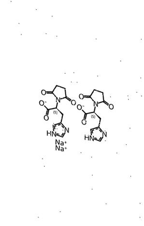 O=C([O-])[C@H](Cc1c[nH]cn1)N1C(=O)CCC1=O.O=C([O-])[C@H](Cc1c[nH]cn1)N1C(=O)CCC1=O.[Na+].[Na+]